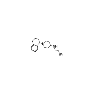 CC(C)CCNC1CCN(C2CCCc3ccccc32)CC1